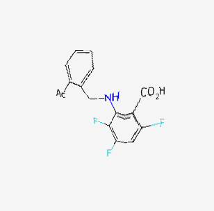 CC(=O)c1ccccc1CNc1c(F)c(F)cc(F)c1C(=O)O